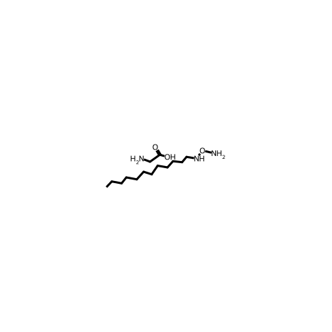 CCCCCCCCCCCCNON.NCC(=O)O